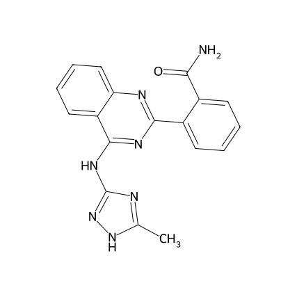 Cc1nc(Nc2nc(-c3ccccc3C(N)=O)nc3ccccc23)n[nH]1